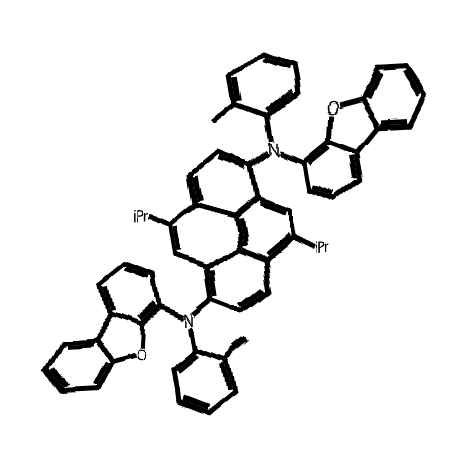 Cc1ccccc1N(c1ccc2c(C(C)C)cc3c(N(c4ccccc4C)c4cccc5c4oc4ccccc45)ccc4c(C(C)C)cc1c2c43)c1cccc2c1oc1ccccc12